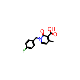 Cc1ccn(Cc2ccc(F)cc2)c(=O)c1C(=O)O